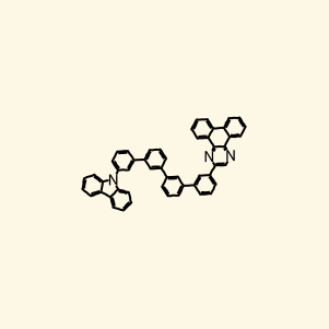 c1cc(-c2cccc(-c3cccc(-n4c5ccccc5c5ccccc54)c3)c2)cc(-c2cccc(-c3cnc4c5ccccc5c5ccccc5c4n3)c2)c1